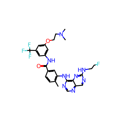 Cc1ccc(C(=O)Nc2cc(OCCN(C)C)cc(C(F)(F)F)c2)cc1Nc1ncnc2cnc(NCCF)nc12